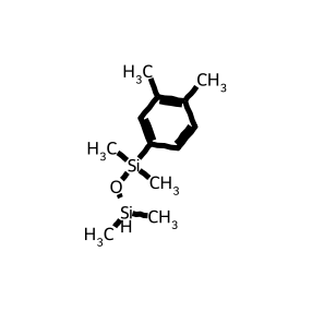 Cc1ccc([Si](C)(C)O[SiH](C)C)cc1C